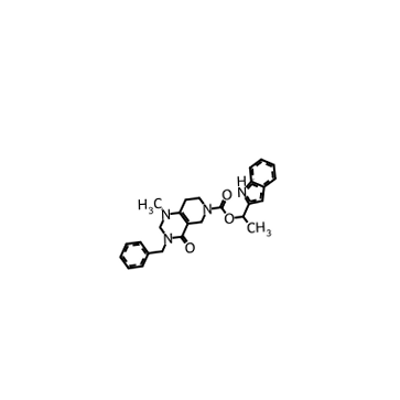 CC(OC(=O)N1CCC2=C(C1)C(=O)N(Cc1ccccc1)CN2C)c1cc2ccccc2[nH]1